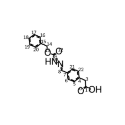 O=C(O)Cc1ccc(C=NNC(=O)OCc2ccccc2)cc1